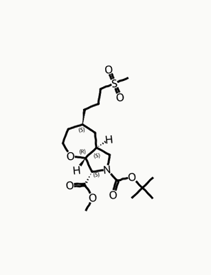 COC(=O)[C@@H]1[C@@H]2OCC[C@@H](CCCS(C)(=O)=O)C[C@H]2CN1C(=O)OC(C)(C)C